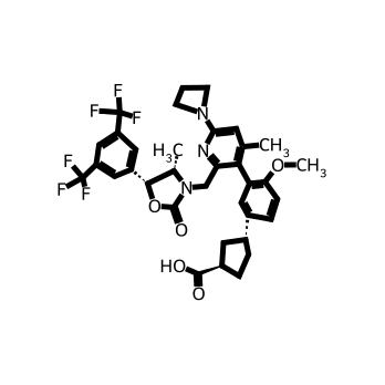 COc1ccc([C@@H]2CC[C@@H](C(=O)O)C2)cc1-c1c(C)cc(N2CCC2)nc1CN1C(=O)O[C@H](c2cc(C(F)(F)F)cc(C(F)(F)F)c2)[C@@H]1C